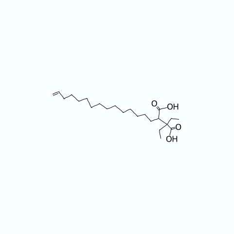 C=CCCCCCCCCCCCCCC(C(=O)O)C(CC)(CC)C(=O)O